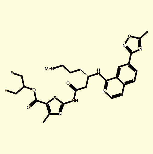 CNCCC[C@@H](CC(=O)Nc1nc(C)c(C(=O)OC(CF)CF)s1)Nc1nccc2ccc(-c3noc(C)n3)cc12